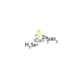 S.[Cu].[SeH2].[SnH2].[Zn]